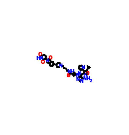 Nc1ncnc2c1c(-c1noc(C3CC3)c1-c1ccccn1)nn2C1CC(C(=O)NCCCCN2CCC(c3ccc4c(c3)C(=O)N([C@@H]3CCC(=O)NC3=O)C4)CC2)C1